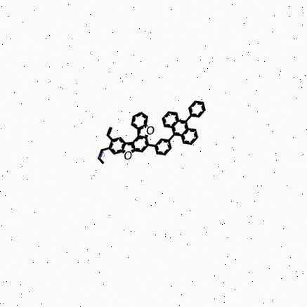 C=Cc1cc2c(cc1/C=C\C)oc1cc(-c3cccc(-c4c5ccccc5c(-c5ccccc5)c5ccccc45)c3)c3oc4ccccc4c3c12